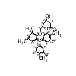 Cc1cc(C)c(OCC2CC(O)CC(=O)O2)c(C(c2ccc(C)c(F)c2)c2ccc(C)c(F)c2)c1